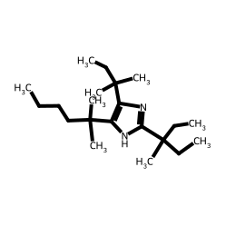 CCCCC(C)(C)c1[nH]c(C(C)(CC)CC)nc1C(C)(C)CC